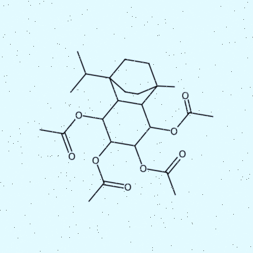 CC(=O)OC1C(OC(C)=O)C(OC(C)=O)C2C(C1OC(C)=O)C1(C)CCC2(C(C)C)CC1